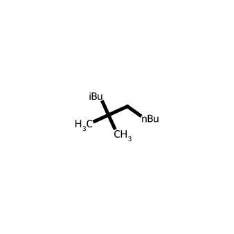 C[CH]C(C)C(C)(C)CCCCC